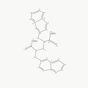 COC(=O)C(Cc1ccc2ccccc2c1)SC(Cc1ccc2ccccc2c1)C(=O)OC